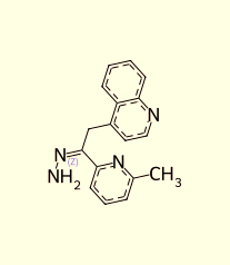 Cc1cccc(/C(Cc2ccnc3ccccc23)=N\N)n1